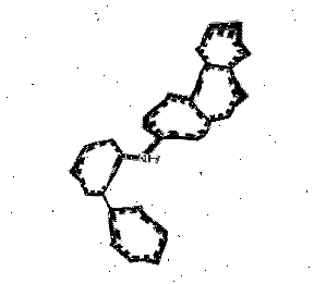 c1ccc(-c2ccccc2Nc2ccc3c(ccc4ccccc43)c2)cc1